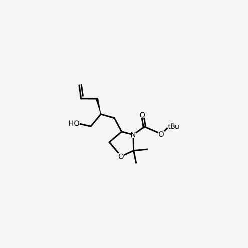 C=CC[C@H](CO)CC1COC(C)(C)N1C(=O)OC(C)(C)C